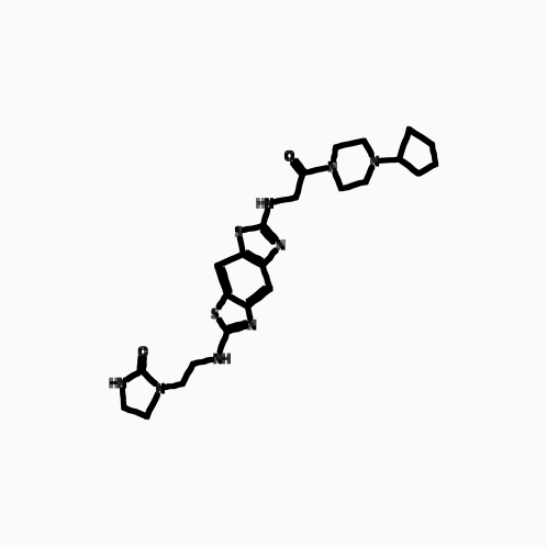 O=C(CNc1nc2cc3nc(NCCN4CCNC4=O)sc3cc2s1)N1CCN(C2CCCC2)CC1